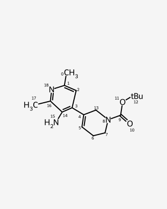 Cc1cc(C2=CCCN(C(=O)OC(C)(C)C)C2)c(N)c(C)n1